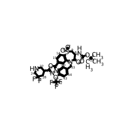 CC(C)(C)OC(=O)N[C@H]1CS(=O)(=O)c2ccc(-c3nnc(C4CNCC(F)(F)C4)o3)cc2N(Cc2ccc(OC(F)(F)F)cc2)C1=O